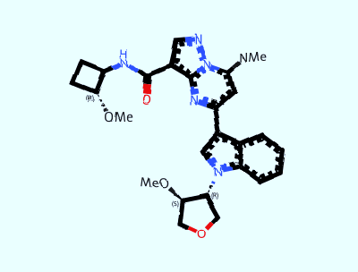 CNc1cc(-c2cn([C@@H]3COC[C@H]3OC)c3ccccc23)nc2c(C(=O)NC3CC[C@H]3OC)cnn12